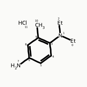 CCN(CC)c1ccc(N)cc1C.Cl